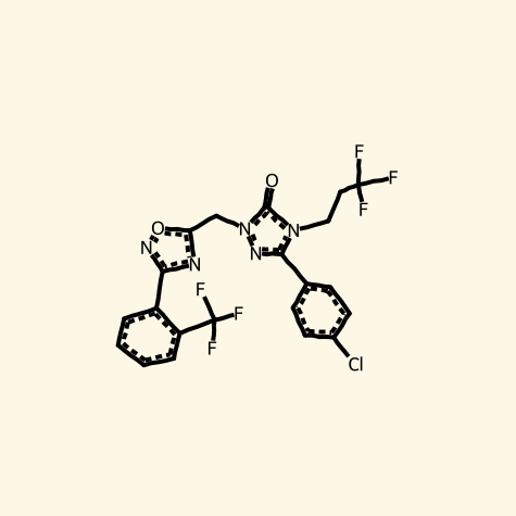 O=c1n(Cc2nc(-c3ccccc3C(F)(F)F)no2)nc(-c2ccc(Cl)cc2)n1CCC(F)(F)F